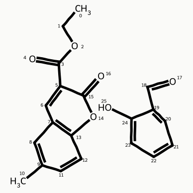 CCOC(=O)c1cc2cc(C)ccc2oc1=O.O=Cc1ccccc1O